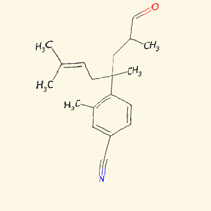 CC(C)=CCC(C)(CC(C)C=O)c1ccc(C#N)cc1C